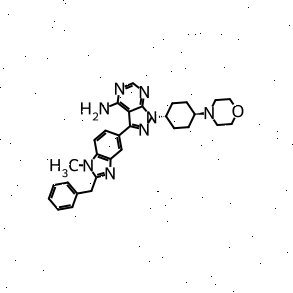 Cn1c(Cc2ccccc2)nc2cc(-c3nn([C@H]4CC[C@H](N5CCOCC5)CC4)c4ncnc(N)c34)ccc21